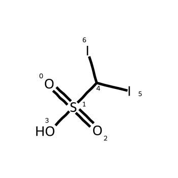 O=S(=O)(O)C(I)I